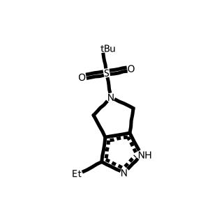 CCc1n[nH]c2c1CN(S(=O)(=O)C(C)(C)C)C2